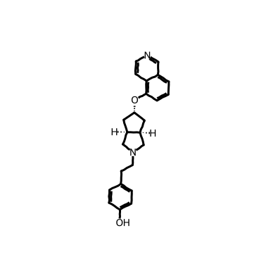 Oc1ccc(CCN2C[C@H]3C[C@H](Oc4cccc5cnccc45)C[C@H]3C2)cc1